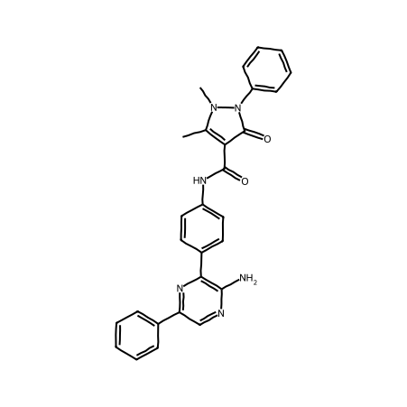 Cc1c(C(=O)Nc2ccc(-c3nc(-c4ccccc4)cnc3N)cc2)c(=O)n(-c2ccccc2)n1C